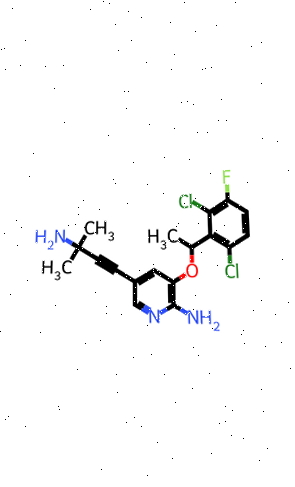 CC(Oc1cc(C#CC(C)(C)N)cnc1N)c1c(Cl)ccc(F)c1Cl